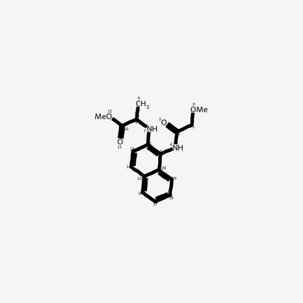 COCC(=O)Nc1c(NC(C)C(=O)OC)ccc2ccccc12